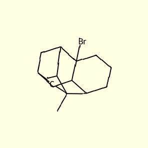 CC1C2CC3CC4C(CCCC24Br)C1(C)C3